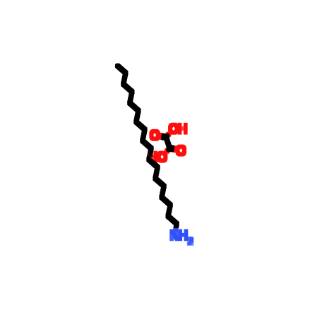 CCCCCCCCCCCCCCCCCCN.O=C(O)C(=O)O